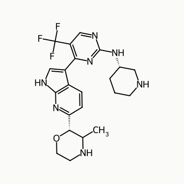 CC1NCCO[C@@H]1c1ccc2c(-c3nc(N[C@H]4CCCNC4)ncc3C(F)(F)F)c[nH]c2n1